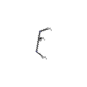 CCCCCCCC/C=C\CCCCCCCCCCCCC(CCCCCC/C=C\CCCCCCCC)C(N)=O